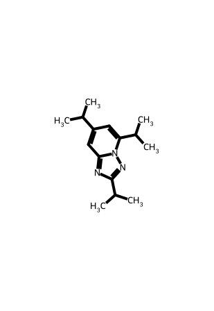 CC(C)c1cc(C(C)C)n2nc(C(C)C)nc2c1